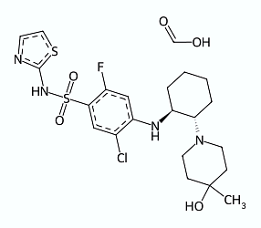 CC1(O)CCN([C@H]2CCCC[C@@H]2Nc2cc(F)c(S(=O)(=O)Nc3nccs3)cc2Cl)CC1.O=CO